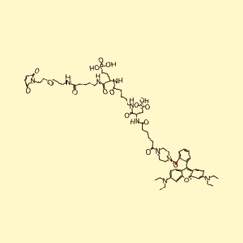 CCN(CC)c1ccc2c(-c3ccccc3C(=O)N3CCN(C(=O)CCCCC(=O)NC(CS(=O)(=O)O)C(=O)NCCCCC(=O)NC(CCP(=O)(O)O)C(=O)NCCCCC(=O)NCCOCCN4C(=O)C=CC4=O)CC3)c3ccc(N(CC)CC)cc3[o+]c2c1